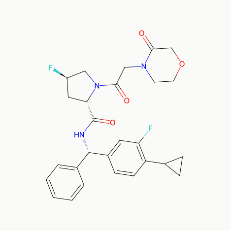 O=C(N[C@@H](c1ccccc1)c1ccc(C2CC2)c(F)c1)[C@@H]1C[C@@H](F)CN1C(=O)CN1CCOCC1=O